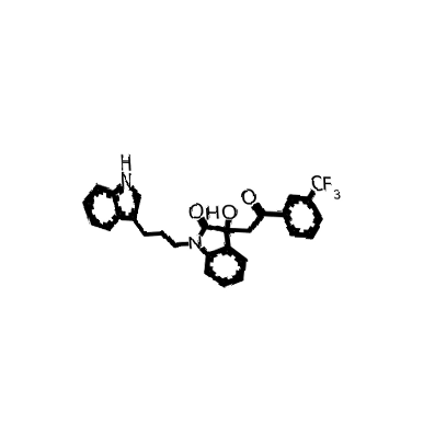 O=C(CC1(O)C(=O)N(CCCc2c[nH]c3ccccc23)c2ccccc21)c1cccc(C(F)(F)F)c1